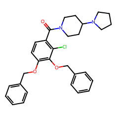 O=C(c1ccc(OCc2ccccc2)c(OCc2ccccc2)c1Cl)N1CCC(N2CCCC2)CC1